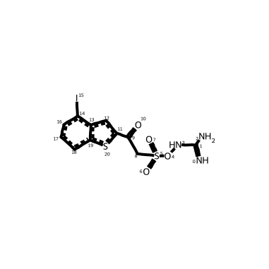 N=C(N)NOS(=O)(=O)CC(=O)c1cc2c(I)cccc2s1